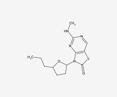 CCCC1CCC(n2c(=O)sc3cnc(NC)nc32)O1